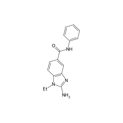 CCn1c(N)nc2cc(C(=O)Nc3ccccc3)ccc21